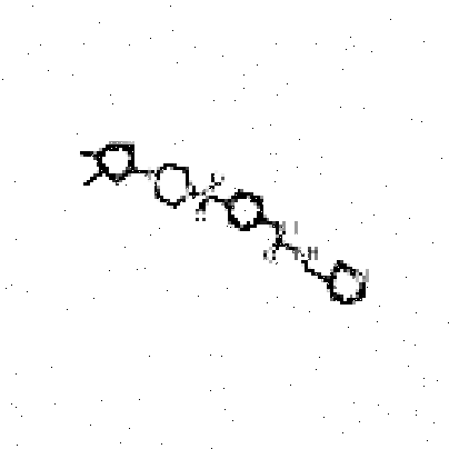 Cc1ccc(N2CCN(S(=O)(=O)c3ccc(NC(=O)NCc4cccnc4)cc3)CC2)cc1C